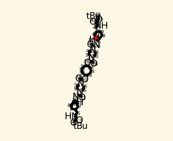 CC(C)(C)OC(=O)NCC1CC[C@H]2C(=NC(=O)N3CCN(C(=O)OC4CCCC(OC(=O)N5CCN(C(=O)N=C6[C@@H]7CC[C@@H](CNC(=O)OC(C)(C)C)C[C@@H]67)CC5)CCC4)CC3)[C@@H]2C1